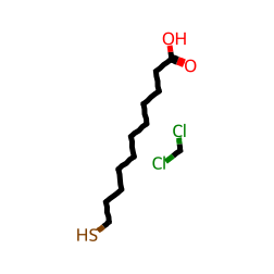 ClCCl.O=C(O)CCCCCCCCCCS